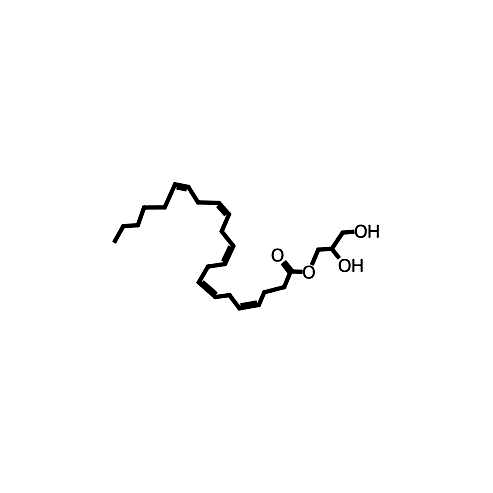 CCCCC/C=C\C/C=C\C/C=C\C/C=C\C/C=C\CCC(=O)OCC(O)CO